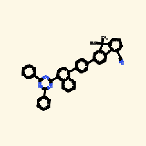 CC1(C)c2cc(-c3ccc(-c4ccc(-c5nc(-c6ccccc6)nc(-c6ccccc6)n5)c5ccccc45)cc3)ccc2-c2c(C#N)cccc21